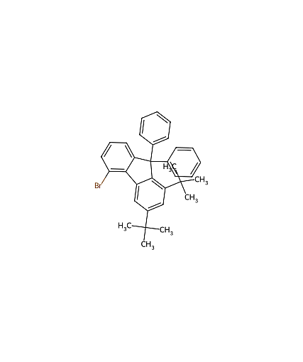 CC(C)(C)c1cc2c(c(C(C)(C)C)c1)C(c1ccccc1)(c1ccccc1)c1cccc(Br)c1-2